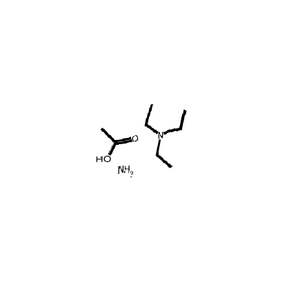 CC(=O)O.CCN(CC)CC.N